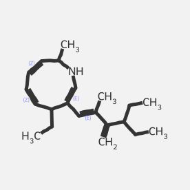 C=C(/C(C)=C/C1=C/NC(C)/C=C\C=C/C1CC)C(CC)CC